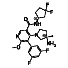 COc1ncc(C(=O)N[C@H]2CCC(F)(F)C2)c(N2CC[C@](C)(N)C2)c1-c1cc(F)cc(F)c1